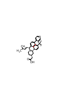 CC(C)CC[C@@H](c1ccc(-c2ccncc2)cc1)N1CC[C@H](CC(=O)O)C[C@@H]1C1C=CC(C(F)(F)F)=CC1